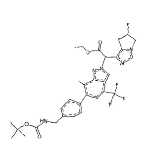 CCOC(=O)C(c1ncn2c1CC(F)C2)n1cc2c(C(F)(F)F)cc(-c3ccc(CNC(=O)OC(C)(C)C)cc3)c(C)c2n1